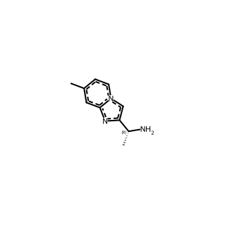 Cc1ccn2cc([C@@H](C)N)nc2c1